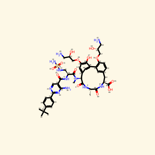 C[C@@H]1NC(=O)[C@@H](N(C)C(=O)[C@H](CNS(N)(=O)=O)NC(=O)c2cnc(-c3ccc(C(C)(C)C)cc3)nc2N)c2cc(OC[C@H](O)CN)c(O)c(c2)-c2cc(ccc2OC[C@H](O)CN)C[C@@H](C(=O)O)NC1=O